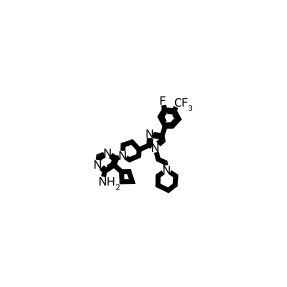 Nc1ncnc(N2CCC(c3nc(-c4ccc(C(F)(F)F)c(F)c4)cn3CCN3CCCCC3)CC2)c1C1CCC1